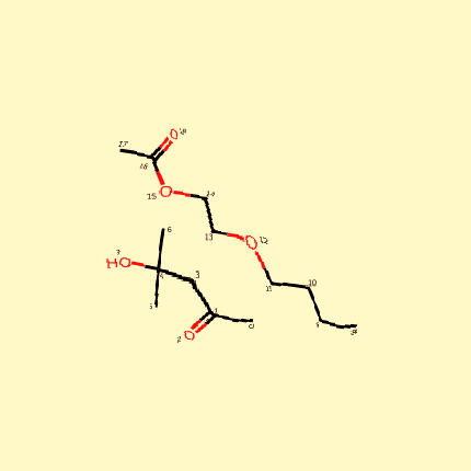 CC(=O)CC(C)(C)O.CCCCOCCOC(C)=O